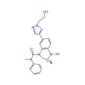 CC(=O)N1c2ccc(-c3cnn(CCO)c3)cc2N(C(=O)N(C)c2ccccc2)C[C@@H]1C